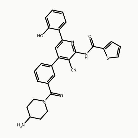 N#Cc1c(-c2cccc(C(=O)N3CCC(N)CC3)c2)cc(-c2ccccc2O)nc1NC(=O)c1cccs1